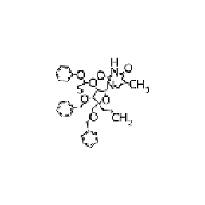 C=CC[C@]1(COCc2ccccc2)O[C@@H](n2cc(C)c(=O)[nH]c2=O)C(OC(=S)Oc2ccccc2)[C@H]1OCc1ccccc1